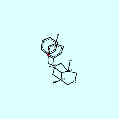 Fc1ccc(NC2[C@@H]3COC[C@H]2CN(Cc2ccccc2)C3)cc1